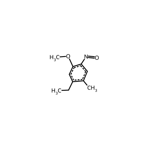 CCc1cc(OC)c(N=O)cc1C